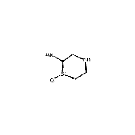 [NH]C1CNCC[S+]1[O-]